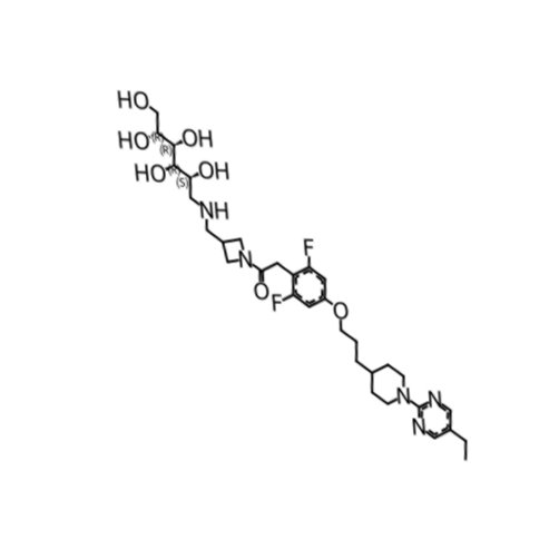 CCc1cnc(N2CCC(CCCOc3cc(F)c(CC(=O)N4CC(CNC[C@H](O)[C@@H](O)[C@H](O)[C@H](O)CO)C4)c(F)c3)CC2)nc1